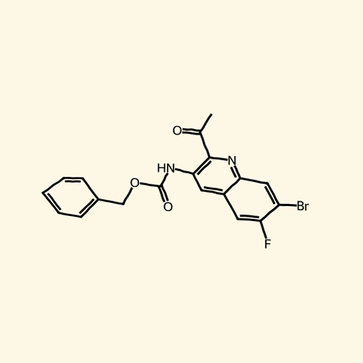 CC(=O)c1nc2cc(Br)c(F)cc2cc1NC(=O)OCc1ccccc1